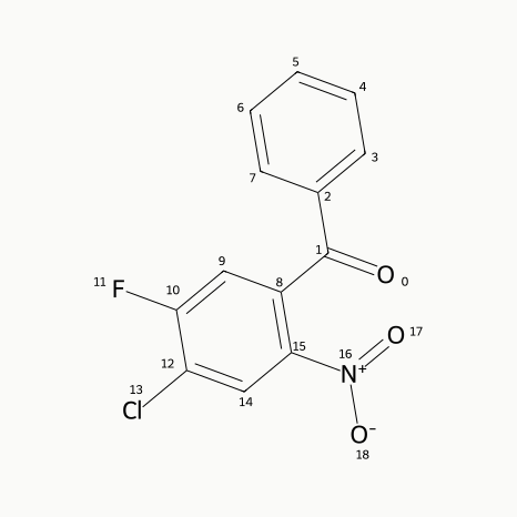 O=C(c1ccccc1)c1cc(F)c(Cl)cc1[N+](=O)[O-]